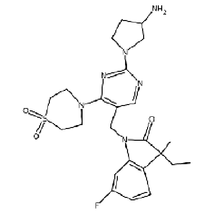 CCC1(C)C(=O)N(Cc2cnc(N3CCC(N)C3)nc2N2CCS(=O)(=O)CC2)c2cc(F)ccc21